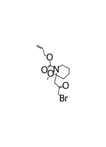 C=CCOC(=O)N1CCCCC1(CC(=O)CBr)OC